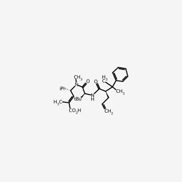 C=CC[C@@H](C(=O)N[C@H](C(=O)N(C)[C@H](/C=C(\C)C(=O)O)C(C)C)C(C)(C)C)C(C)(C)c1ccccc1